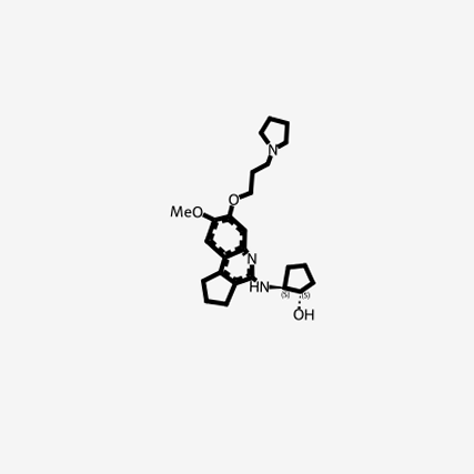 COc1cc2c3c(c(N[C@H]4CCC[C@@H]4O)nc2cc1OCCCN1CCCC1)CCC3